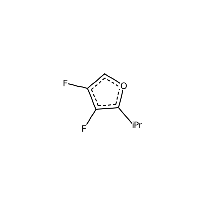 CC(C)c1occ(F)c1F